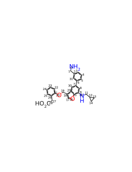 NCc1cccc(-c2cc(NCC3CC3)c3occ(COc4ccccc4CC(=O)O)c3c2)c1